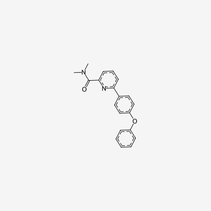 CN(C)C(=O)c1cccc(-c2ccc(Oc3ccccc3)cc2)n1